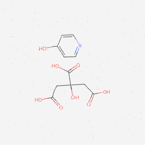 O=C(O)CC(O)(CC(=O)O)C(=O)O.Oc1ccncc1